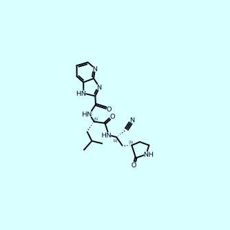 CC(C)C[C@H](NC(=O)c1nc2ncccc2[nH]1)C(=O)N[C@H](C#N)C[C@@H]1CCNC1=O